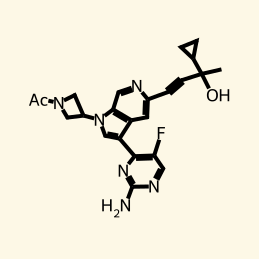 CC(=O)N1CC(n2cc(-c3nc(N)ncc3F)c3cc(C#CC(C)(O)C4CC4)ncc32)C1